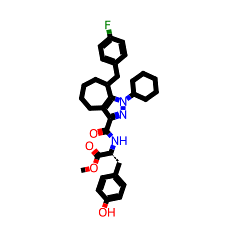 COC(=O)[C@@H](Cc1ccc(O)cc1)NC(=O)c1nn(C2CCCCC2)c2c1CCCCC2Cc1ccc(F)cc1